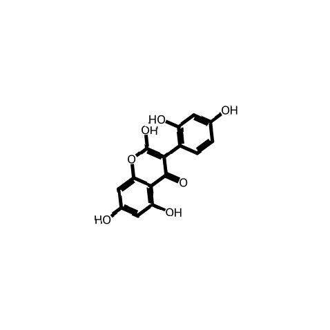 O=c1c(-c2ccc(O)cc2O)c(O)oc2cc(O)cc(O)c12